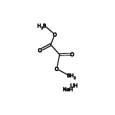 BOC(=O)C(=O)OB.[LiH].[NaH]